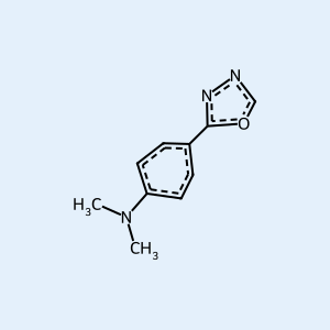 CN(C)c1ccc(-c2nnco2)cc1